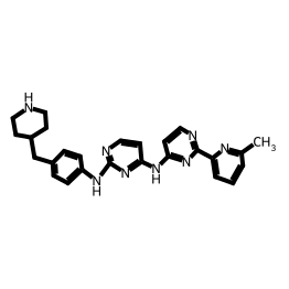 Cc1cccc(-c2nccc(Nc3ccnc(Nc4ccc(CC5CCNCC5)cc4)n3)n2)n1